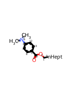 CCCCCCCCOC(=O)c1ccc(N(C)C)cc1